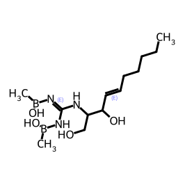 CCCCC/C=C/C(O)C(CO)N/C(=N/B(C)O)NB(C)O